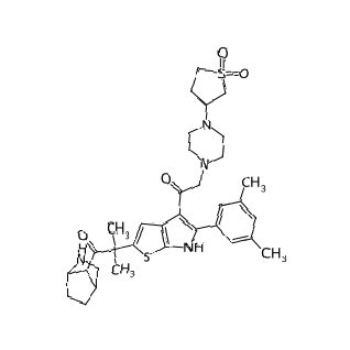 Cc1cc(C)cc(-c2[nH]c3sc(C(C)(C)C(=O)C4C5CCC4NC5)cc3c2C(=O)CN2CCN(C3CCS(=O)(=O)C3)CC2)c1